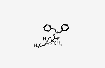 CCCOC(C)(C)C(F)CN(Cc1ccccc1)Cc1ccccc1